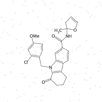 COc1ccc(Cn2c3c(c4ccc(C(=O)NC5(C)CC=CO5)cc42)CCCC3=O)c(Cl)c1